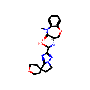 CN1C(=O)[C@@H](NC(O)c2nc3n(n2)CCC32CCOCC2)COc2ccccc21